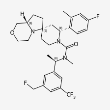 Cc1cc(F)ccc1[C@H]1C[C@]2(CC[C@H]3COCCN32)CCN1C(=O)N(C)[C@H](C)c1cc(CF)cc(C(F)(F)F)c1